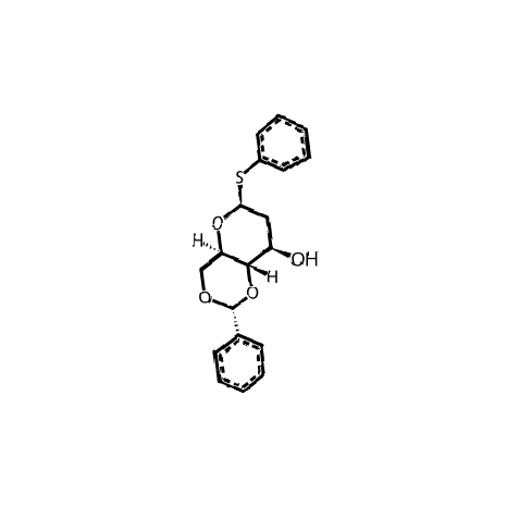 O[C@@H]1C[C@H](Sc2ccccc2)O[C@@H]2CO[C@@H](c3ccccc3)O[C@@H]12